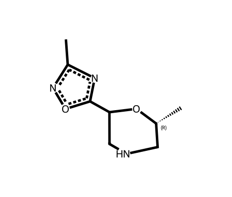 Cc1noc(C2CNC[C@@H](C)O2)n1